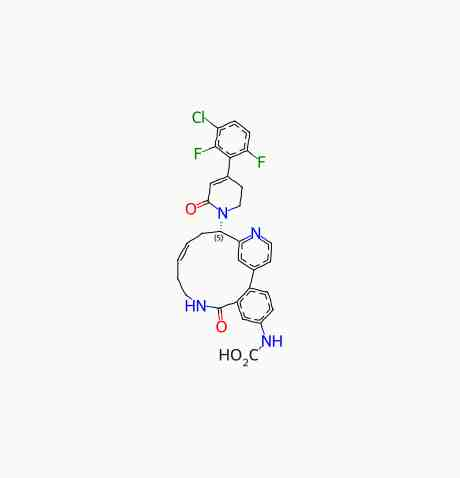 O=C(O)Nc1ccc2c(c1)C(=O)NCCC=CC[C@H](N1CCC(c3c(F)ccc(Cl)c3F)=CC1=O)c1cc-2ccn1